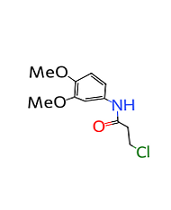 COc1ccc(NC(=O)CCCl)cc1OC